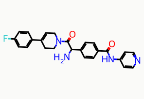 NC(C(=O)N1CC=C(c2ccc(F)cc2)CC1)c1ccc(C(=O)Nc2ccncc2)cc1